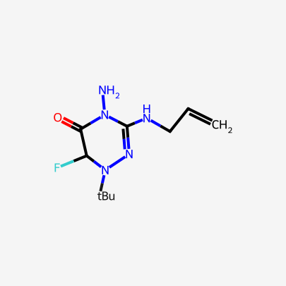 C=CCNC1=NN(C(C)(C)C)C(F)C(=O)N1N